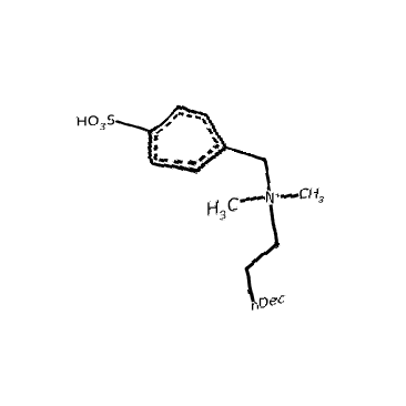 CCCCCCCCCCCC[N+](C)(C)Cc1ccc(S(=O)(=O)O)cc1